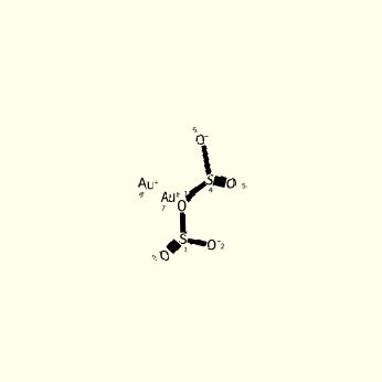 O=S([O-])OS(=O)[O-].[Au+].[Au+]